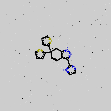 C1=CC(c2cccs2)(c2cccs2)Cc2[nH]nc(-c3ncc[nH]3)c21